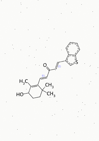 CC1=C(/C=C/C(=O)/C=C/c2csc3ccccc23)C(C)(C)CCC1O